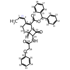 C/C=C\C1=C(C(=O)OC(c2ccccc2)c2ccccc2)N2C(=O)C(NC(=O)COc3ccccc3)[C@@H]2SC1